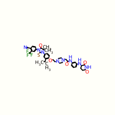 CC(C)c1cc(N2C(=S)N(c3ccc(C#N)c(C(F)(F)F)c3)C(=O)C2(C)C)ccc1OCCN1CCN(CC(=O)Nc2cccc(NC3CCC(=O)NC3=O)c2)CC1